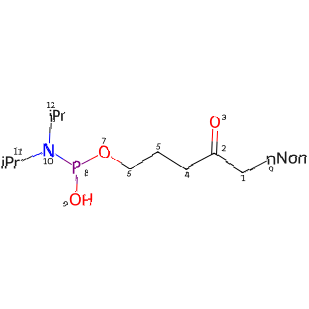 CCCCCCCCCCC(=O)CCCOP(O)N(C(C)C)C(C)C